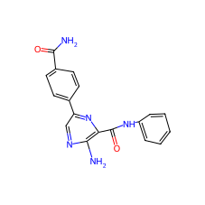 NC(=O)c1ccc(-c2cnc(N)c(C(=O)Nc3ccccc3)n2)cc1